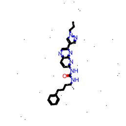 CCCn1cc(-c2cnc3ccc(NC(=O)N[C@H](C)CCCc4ccccc4)nc3n2)cn1